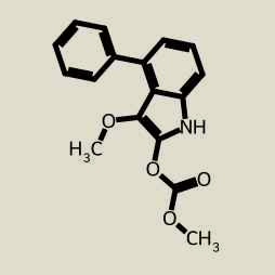 COC(=O)Oc1[nH]c2cccc(-c3ccccc3)c2c1OC